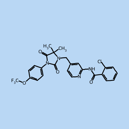 CC1(C)C(=O)N(c2ccc(OC(F)(F)F)cc2)C(=O)N1Cc1ccnc(NC(=O)c2ccccc2Cl)c1